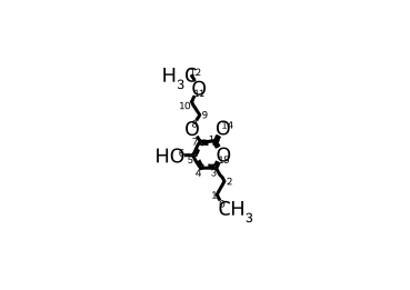 CCCc1cc(O)c(OCCOC)c(=O)o1